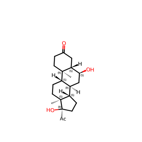 CC(=O)[C@@]1(O)CC[C@H]2[C@@H]3C[C@H](O)[C@H]4CC(=O)CC[C@]4(C)[C@H]3CC[C@@]21C